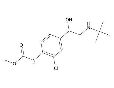 COC(=O)Nc1ccc(C(O)CNC(C)(C)C)cc1Cl